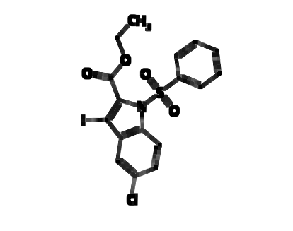 CCOC(=O)c1c(I)c2cc(Cl)ccc2n1S(=O)(=O)c1ccccc1